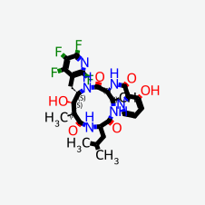 CC(C)CC1NC(=O)[C@H](C)[C@H](O)[C@H](Cc2c(F)nc(F)c(F)c2F)NC(=O)[C@@H](NC(=O)c2ncccc2O)[C@@H](C)NC1=O